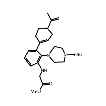 C=C(C)C1CC=C(c2cccc(NCC(=O)OC)c2N2CCN(CCCC)CC2)CC1